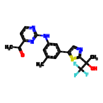 CC(=O)c1ccnc(Nc2cc(C)cc(-c3cnc(C(C)(O)C(F)(F)F)s3)c2)n1